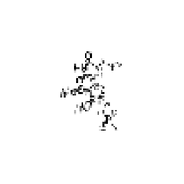 C=CCc1cn([C@@H]2O[C@H](CCP(=C)(C)C)[C@@H](O)[C@H]2OC)c(=O)[nH]c1=O